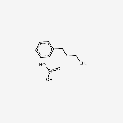 CCCCc1ccccc1.O=[Se](O)O